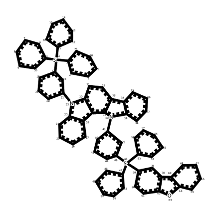 c1ccc([Si](c2ccccc2)(c2ccccc2)c2cccc(-n3c4ccccc4c4c3ccc3c5ccccc5n(-c5cccc([Si](c6ccccc6)(c6ccccc6)c6ccc7oc8ccccc8c7c6)c5)c34)c2)cc1